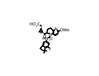 COc1ccc2c(n1)CCC(C(=O)[C@H]1C[C@@H]1CC(=O)O)N2C(=O)Nc1cc(F)c2c(c1)CCC2(C)C